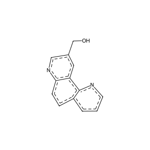 OCc1cnc2ccc3cccnc3c2c1